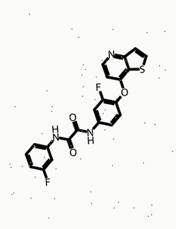 O=C(Nc1cccc(F)c1)C(=O)Nc1ccc(Oc2ccnc3ccsc23)c(F)c1